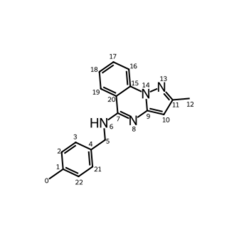 Cc1ccc(CNc2nc3cc(C)nn3c3ccccc23)cc1